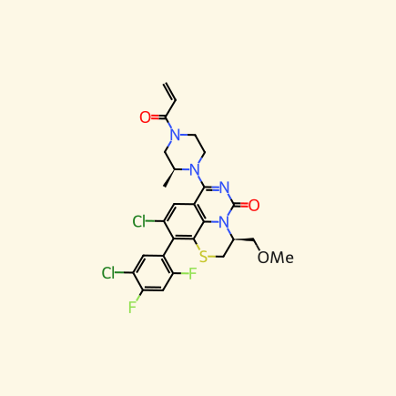 C=CC(=O)N1CCN(c2nc(=O)n3c4c(c(-c5cc(Cl)c(F)cc5F)c(Cl)cc24)SC[C@@H]3COC)[C@@H](C)C1